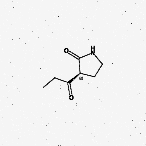 CCC(=O)[C@@H]1CCNC1=O